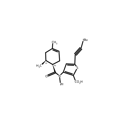 CC1=CC[C@@H](C(=O)N(c2cc(C#CC(C)(C)C)sc2C(=O)O)C(C)C)[C@@H](C)C1